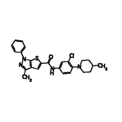 Cc1nn(-c2ccccc2)c2sc(C(=O)Nc3ccc(N4CCC(C)CC4)c(Cl)c3)cc12